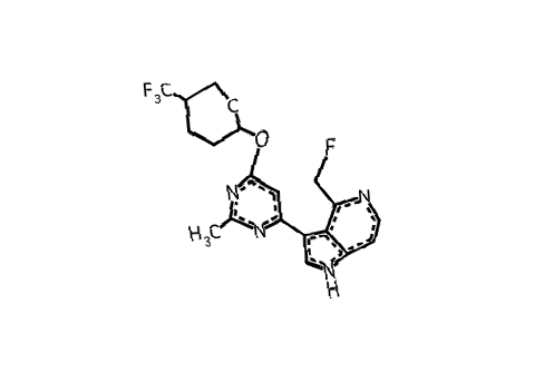 Cc1nc(OC2CCC(C(F)(F)F)CC2)cc(-c2c[nH]c3ccnc(CF)c23)n1